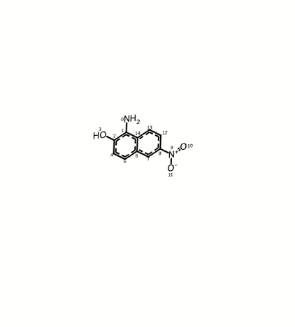 Nc1c(O)ccc2cc([N+](=O)[O-])ccc12